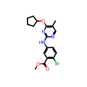 COC(=O)c1cc(Nc2ncc(C)c(OC3CCCC3)n2)ccc1Br